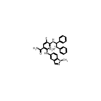 Cn1ncc2cc(Nc3nc(NC(c4ccccc4)[C@@H](N)c4ccccc4)c(F)cc3C(N)=O)ccc21